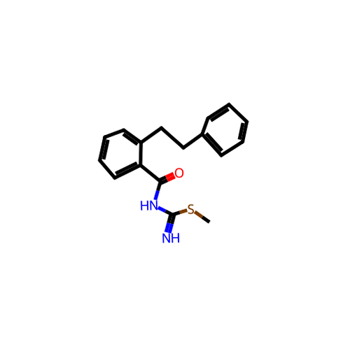 CSC(=N)NC(=O)c1ccccc1CCc1ccccc1